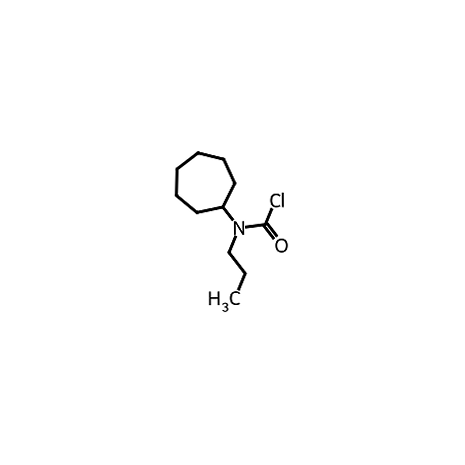 CCCN(C(=O)Cl)C1CCCCCC1